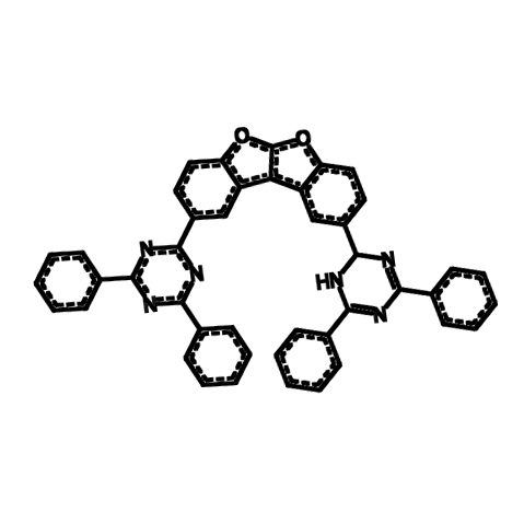 c1ccc(C2=NC(c3ccc4oc5oc6ccc(-c7nc(-c8ccccc8)nc(-c8ccccc8)n7)cc6c5c4c3)NC(c3ccccc3)=N2)cc1